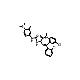 Cc1cc(NC(=S)NC2N=C(c3ccccc3Cl)c3cc(Cl)ccc3N(C)C2=O)ccc1N(C)C